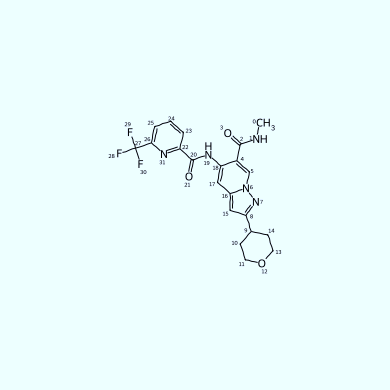 CNC(=O)c1cn2nc(C3CCOCC3)cc2cc1NC(=O)c1cccc(C(F)(F)F)n1